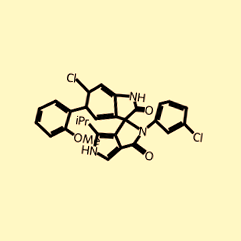 COc1ccccc1C1C=C2C(=CC1Cl)NC(=O)C21c2c(c[nH]c2C(C)C)C(=O)N1c1cccc(Cl)c1